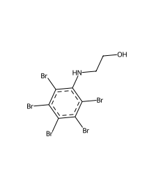 OCCNc1c(Br)c(Br)c(Br)c(Br)c1Br